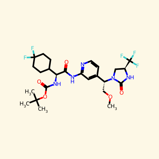 COC[C@H](c1ccnc(NC(=O)[C@@H](NC(=O)OC(C)(C)C)C2CCC(F)(F)CC2)c1)N1C[C@@H](C(F)(F)F)NC1=O